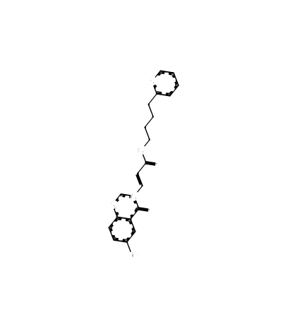 CC(C)c1ccc2ncn(C=CC(=O)NCCCCc3ccccn3)c(=O)c2c1.Cl